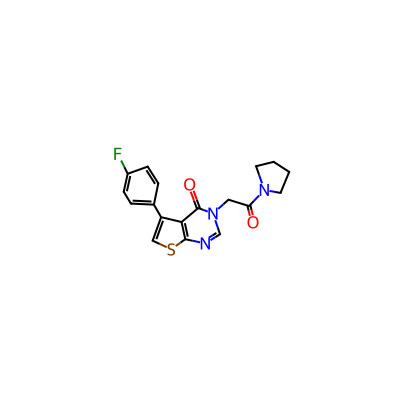 O=C(Cn1cnc2scc(-c3ccc(F)cc3)c2c1=O)N1CCCC1